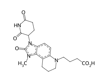 Cn1c(=O)n(C2CCC(=O)NC2=O)c2ccc3c(c21)CCCN3CCCC(=O)O